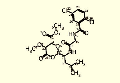 COC(=O)[C@@H]1OB([C@H](CC(C)C)NC(=O)CNC(=O)c2cc(Cl)ccc2Cl)OC(=O)[C@H]1OC